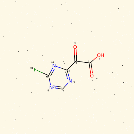 O=C(O)C(=O)c1ncnc(F)n1